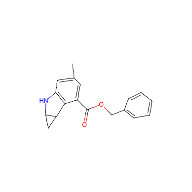 Cc1cc2c(c(C(=O)OCc3ccccc3)c1)C1CC1N2